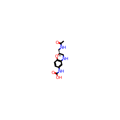 CC(=O)NC[C@H]1CNc2cc(NC(=O)O)ccc2O1